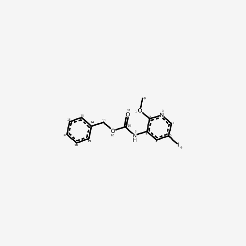 COc1ncc(I)cc1NC(=O)OCc1ccccc1